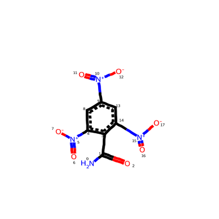 NC(=O)c1c([N+](=O)[O-])[c]c([N+](=O)[O-])cc1[N+](=O)[O-]